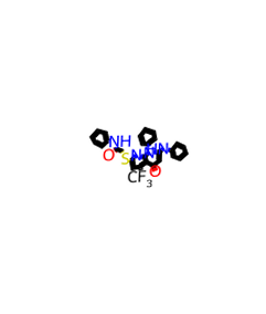 O=C(CSc1cc(C(F)(F)F)c2c(=O)cc(Nc3ccccc3)n(-c3ccccc3)c2n1)Nc1ccccc1